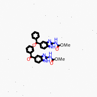 COC(=O)Nc1nc2cc(C(=O)c3ccccc3)ccc2[nH]1.COC(=O)Nc1nc2cc(C(=O)c3ccccc3)ccc2[nH]1